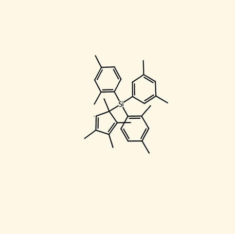 CC1=[C]C(C)([Si](c2cc(C)cc(C)c2)(c2ccc(C)cc2C)c2ccc(C)cc2C)C(C)=C1C